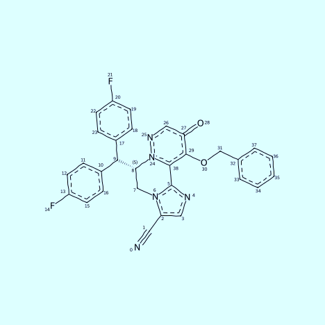 N#Cc1cnc2n1C[C@H](C(c1ccc(F)cc1)c1ccc(F)cc1)n1ncc(=O)c(OCc3ccccc3)c1-2